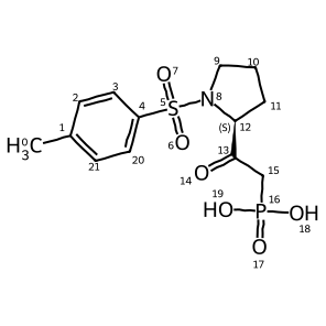 Cc1ccc(S(=O)(=O)N2CCC[C@H]2C(=O)CP(=O)(O)O)cc1